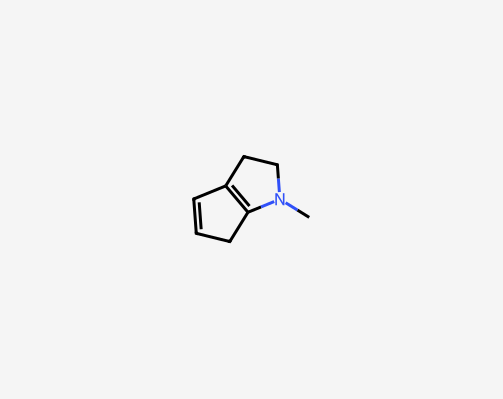 CN1CCC2=C1CC=C2